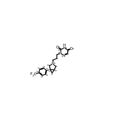 O=c1cnn(CCCN2CC3C[C@]3(c3ccc(C(F)(F)F)cc3)C2)c(=O)[nH]1